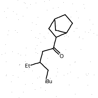 CCC(C)CC(CC)CC(=O)C1CC2CCC1C2